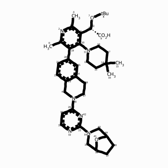 Cc1nc(C)c([C@H](OC(C)(C)C)C(=O)O)c(N2CCC(C)(C)CC2)c1-c1ccc2c(c1)CCN(c1ccnc(N3CC4CCC(C3)O4)n1)C2